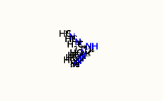 C#N.C#N.C#N.C#N.C#N.C#N.Cc1ncc[nH]1.[Fe]